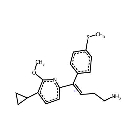 COc1nc(/C(=C/CCN)c2ccc(SC)cc2)ccc1C1CC1